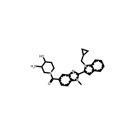 Cn1c(-c2cc3ccccc3n2CC2CC2)nc2cc(C(=O)N3CCC(O)C(N)C3)ccc21